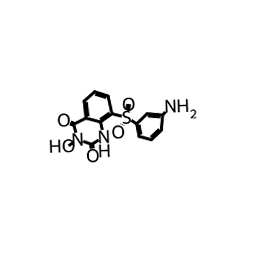 Nc1cccc(S(=O)(=O)c2cccc3c(=O)n(O)c(=O)[nH]c23)c1